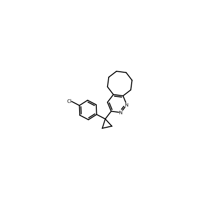 Clc1ccc(C2(c3cc4c(nn3)CCCCCC4)CC2)cc1